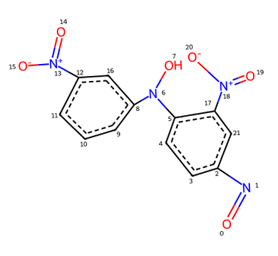 O=Nc1ccc(N(O)c2cccc([N+](=O)[O-])c2)c([N+](=O)[O-])c1